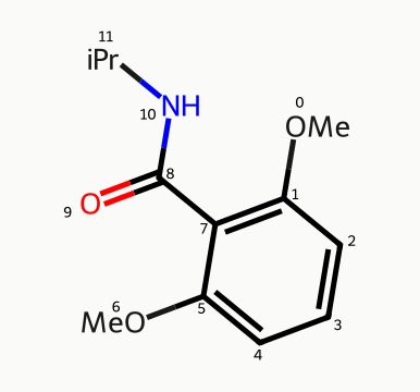 COc1cccc(OC)c1C(=O)NC(C)C